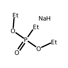 CCOP(=O)(CC)OCC.[NaH]